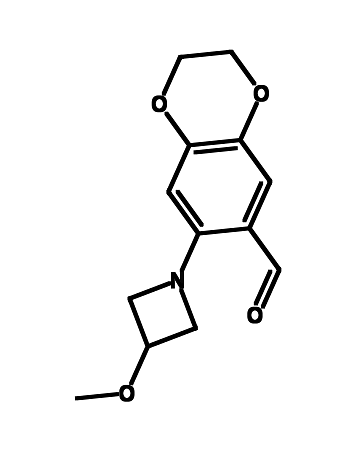 COC1CN(c2cc3c(cc2C=O)OCCO3)C1